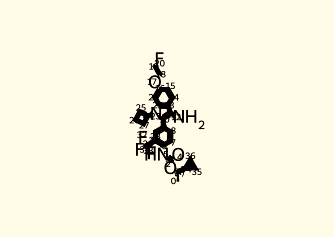 C[C@@H](OC(=O)Nc1ccc(-c2c(N)c3ccc(OCCF)cc3n2C2CCC2)cc1C(F)(F)F)C1CC1